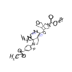 C=C1/C(=C(\N=C/N)OC2C3COCC34CN(C(=O)OC(C)C)CC24)CCN1c1ccc(S(C)(=O)=O)cc1F